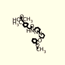 CCOc1ccccc1OC1CCCN(c2cccc(NC(=O)Cc3ccc(C(C)(C)C(=O)O)cc3)n2)C1